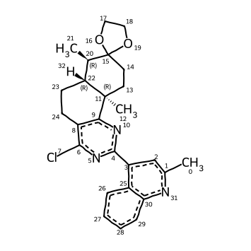 Cc1cc(-c2nc(Cl)c3c(n2)[C@]2(C)CCC4(OCCO4)[C@H](C)[C@H]2CC3)c2ccccc2n1